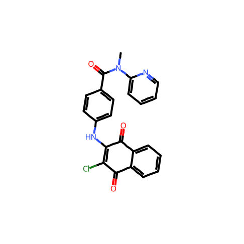 CN(C(=O)c1ccc(NC2=C(Cl)C(=O)c3ccccc3C2=O)cc1)c1ccccn1